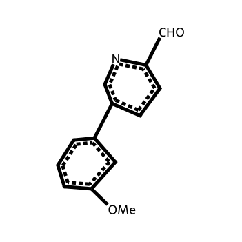 COc1cccc(-c2ccc(C=O)nc2)c1